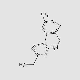 Cc1ccc(CN)c(-c2ccc(CN)cc2)c1